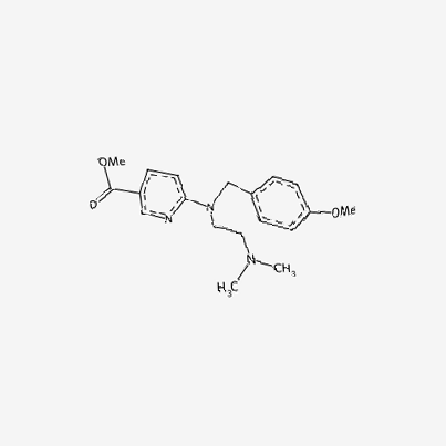 COC(=O)c1ccc(N(CCN(C)C)Cc2ccc(OC)cc2)nc1